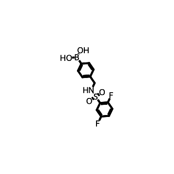 O=S(=O)(NCc1ccc(B(O)O)cc1)c1cc(F)ccc1F